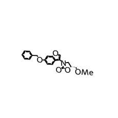 COC[C@H]1CN(c2coc3cc(OCc4ccccc4)ccc23)C(=O)O1